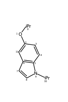 CC(C)Oc1ccc2c(ccn2C(C)C)c1